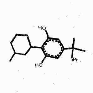 CCCC(C)(C)c1cc(O)c(C2CCCC(C)C2)c(O)c1